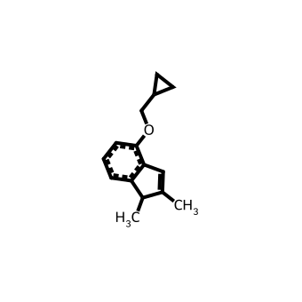 CC1=Cc2c(OCC3CC3)cccc2C1C